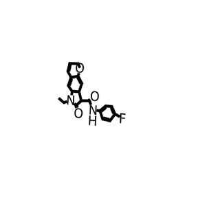 CCN1C(=O)C(C(=O)Nc2ccc(F)cc2)C2C=C3OCC=CC3=CC21